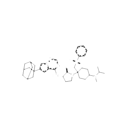 CC(C)N(C)C1CCC(CS(=O)(=O)c2ccccc2)(N2CC[C@H](Nc3ncnn4cc(C56CC7CC(CC(C7)C5)C6)cc34)C2=O)CC1